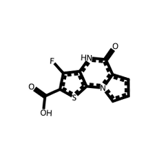 O=C(O)c1sc2c([nH]c(=O)c3cccn32)c1F